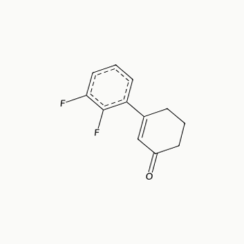 O=C1C=C(c2cccc(F)c2F)CCC1